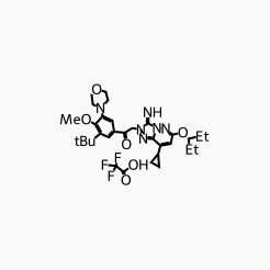 CCC(CC)Oc1cc(C2CC2)c2nn(CC(=O)c3cc(N4CCOCC4)c(OC)c(C(C)(C)C)c3)c(=N)n2n1.O=C(O)C(F)(F)F